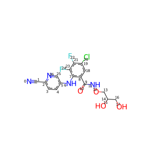 N#Cc1ccc(Nc2c(C(=O)NOCC(O)CO)cc(Cl)c(F)c2F)cn1